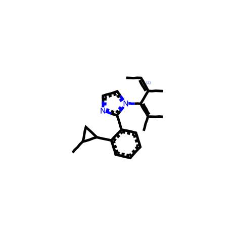 C/C=C(/C)C(=C(C)C)n1ccnc1-c1ccccc1C1CC1C